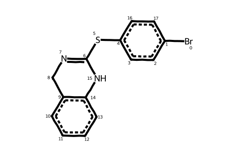 Brc1ccc(SC2=N[CH]c3ccccc3N2)cc1